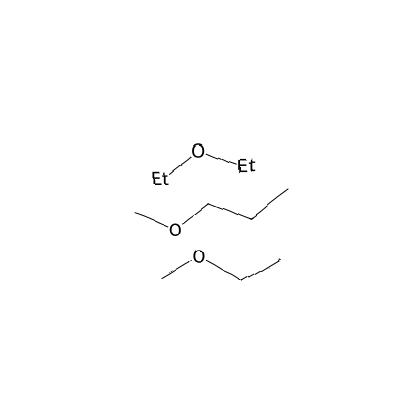 CCCOC.CCOC.CCOCC